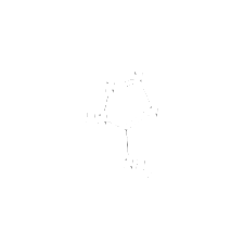 NC1=NN=[N+]N1